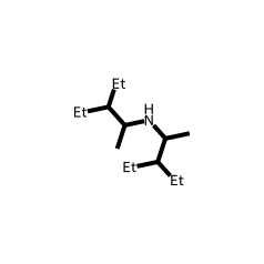 CCC(CC)C(C)NC(C)C(CC)CC